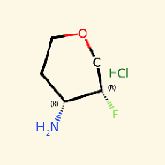 Cl.N[C@@H]1CCOC[C@@H]1F